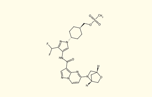 CS(=O)(=O)OC[C@H]1CC[C@H](n2cc(NC(=O)c3cnn4ccc(N5C[C@H]6C[C@@H]5CO6)nc34)c(C(F)F)n2)CC1